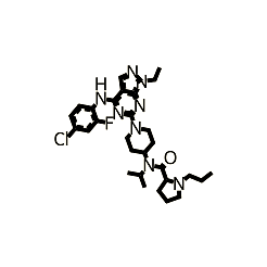 CCCN1CCCC1C(=O)N(C(C)C)C1CCN(c2nc(Nc3ccc(Cl)cc3F)c3cnn(CC)c3n2)CC1